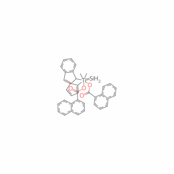 [CH3][Ti]([CH3])(=[SiH2])([O]C(=O)c1cccc2ccccc12)([O]C(=O)c1cccc2ccccc12)([C]1=CC=CC1)[CH]1C=Cc2ccccc21